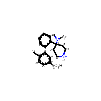 CC(=O)N(C)C1(c2ccccc2)CCNCC1.Cc1ccc(S(=O)(=O)O)cc1